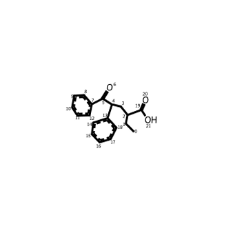 CCC(CC(C(=O)c1ccccc1)c1ccccc1)C(=O)O